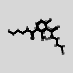 CCCCOC(=O)c1ccc(C)c(C(=O)OCCCC)c1N